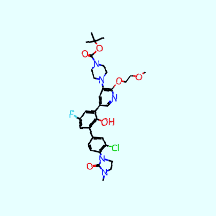 COCCOc1ncc(-c2cc(F)cc(-c3ccc(N4CCN(C)C4=O)c(Cl)c3)c2O)cc1N1CCN(C(=O)OC(C)(C)C)CC1